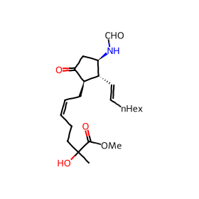 CCCCCC/C=C/[C@H]1[C@H](NC=O)CC(=O)[C@@H]1C/C=C\CCC(C)(O)C(=O)OC